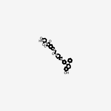 O=C1CCC(N2C(=O)c3cc4c(cc3C2=O)CN(CC(=O)N2CCC3(CC2)CN(c2ccc([C@@H]5c6ccc(O)cc6CC[C@@H]5c5ccccc5)cc2)C3)C4)C(=O)N1